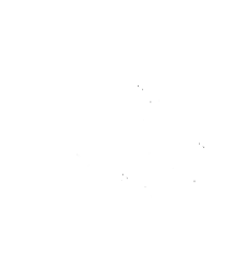 CCNC(=O)Oc1c2c(c(O)c3ncccc13)C(=O)N(Cc1ccc(F)cc1)C2